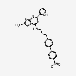 Cc1cc2c(NCCCc3ccc(-c4ccc([N+](=O)[O-])cc4)cc3)nc(-c3ccc[nH]3)nc2s1